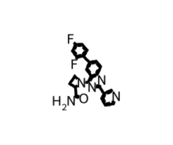 NC(=O)C1CCN1c1nc(-c2cccnc2)nc2ccc(-c3ccc(F)cc3F)cc12